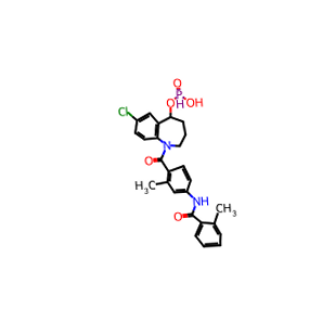 Cc1ccccc1C(=O)Nc1ccc(C(=O)N2CCCC(O[PH](=O)O)c3cc(Cl)ccc32)c(C)c1